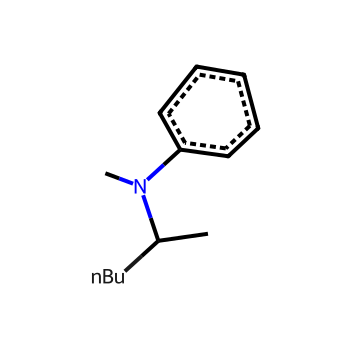 CCCCC(C)N(C)c1ccccc1